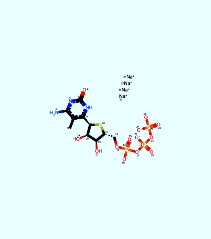 Cc1c(N)nc(=O)[nH]c1[C@H]1S[C@H](COP(=O)([O-])OP(=O)([O-])OP(=O)([O-])[O-])[C@@H](O)[C@H]1O.[Na+].[Na+].[Na+].[Na+]